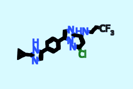 FC(F)(F)CCNc1cc(Cl)nn2c(-c3ccc(-c4cnc(C5CC5)[nH]4)cc3)cnc12